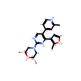 Cc1cc(-c2cnc(N3C[C@@H](C)O[C@@H](C)C3)nc2-c2ccoc2C)ccn1